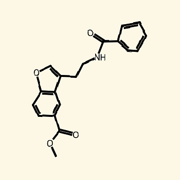 COC(=O)c1ccc2occ(CCNC(=O)c3ccccc3)c2c1